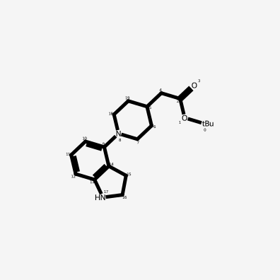 CC(C)(C)OC(=O)CC1CCN(c2cccc3c2CCN3)CC1